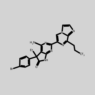 CCC1(c2ccc(Br)cc2)C(=O)Nc2nc(-c3cn4ccnc4c(CCC(F)(F)F)n3)nc(N)c21